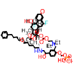 CC[N+](CC)(CCOC(=O)OCC(=O)[C@@]12OC(C)(C)O[C@@H]1C[C@H]1[C@@H]3C[C@H](F)C4=CC(=O)C=C[C@]4(C)[C@@]3(F)[C@@H](O)C[C@@]12C)Cc1cc(C(O)CNCCCCCCOCCCCc2ccccc2)ccc1OCOP(=O)(O)O